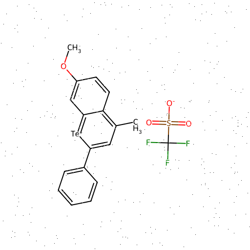 COc1ccc2c(C)cc(-c3ccccc3)[te+]c2c1.O=S(=O)([O-])C(F)(F)F